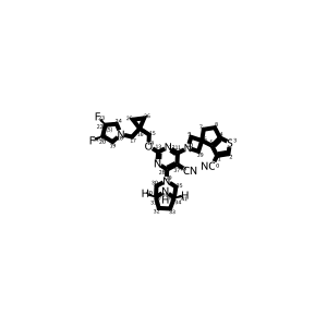 N#Cc1csc2c1C1(CC2)CN(c2nc(OCC3(CN4C[C@@H](F)[C@@H](F)C4)CC3)nc(N3C[C@H]4CC[C@@H](C3)N4)c2C#N)C1